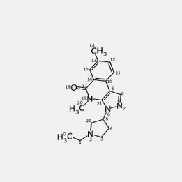 CCN1CCC(n2ncc3c4ccc(C)cc4c(=O)n(C)c32)C1